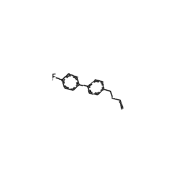 C=CCCc1ccc(-c2ccc(F)cc2)cc1